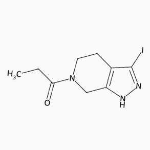 CCC(=O)N1CCc2c(I)n[nH]c2C1